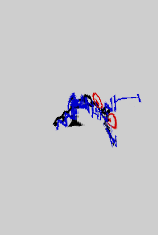 CN(C)C/C=C/C(=O)N[C@H]1CNC[C@@H]1NC(=O)c1ccc2c(c1)nc(-c1cc3cccnc3n1CC1CC1)n2C